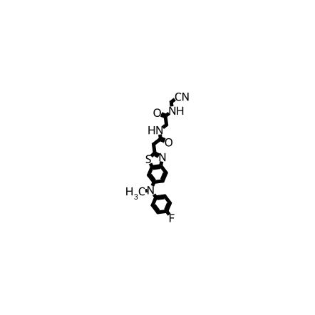 CN(c1ccc(F)cc1)c1ccc2nc(CC(=O)NCC(=O)NCC#N)sc2c1